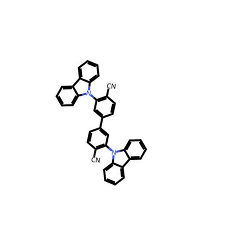 N#Cc1ccc(-c2ccc(C#N)c(-n3c4ccccc4c4ccccc43)c2)cc1-n1c2ccccc2c2ccccc21